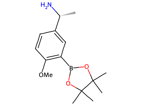 COc1ccc([C@@H](C)N)cc1B1OC(C)(C)C(C)(C)O1